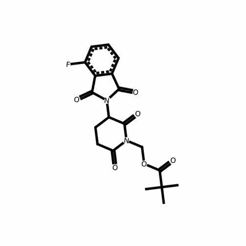 CC(C)(C)C(=O)OCN1C(=O)CCC(N2C(=O)c3cccc(F)c3C2=O)C1=O